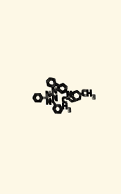 CC1CC2CC(C)N(c3ccc4c5ccccc5n(-c5nc(-c6ccccc6)nc(-c6ccccc6)n5)c4c3)C(C1)C2